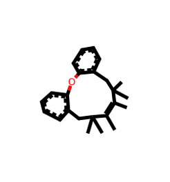 C/C1=C(\C)C(C)(C)Cc2ccccc2Oc2ccccc2CC1(C)C